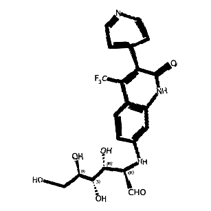 O=C[C@H](Nc1ccc2c(C(F)(F)F)c(-c3ccncc3)c(=O)[nH]c2c1)[C@@H](O)[C@H](O)[C@H](O)CO